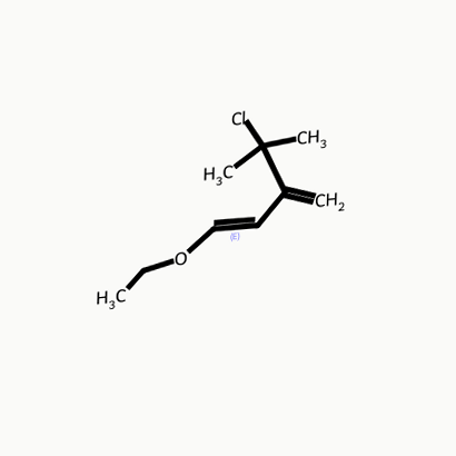 C=C(/C=C/OCC)C(C)(C)Cl